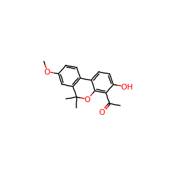 COc1ccc2c(c1)C(C)(C)Oc1c-2ccc(O)c1C(C)=O